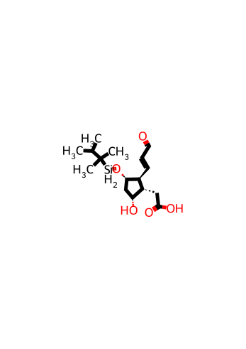 CC(C)C(C)(C)[SiH2]O[C@H]1C[C@@H](O)[C@@H](CC(=O)O)[C@@H]1/C=C/C=O